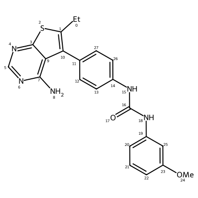 CCc1sc2ncnc(N)c2c1-c1ccc(NC(=O)Nc2cccc(OC)c2)cc1